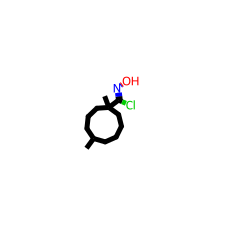 CC1CCCCC(C)(/C(Cl)=N/O)CCC1